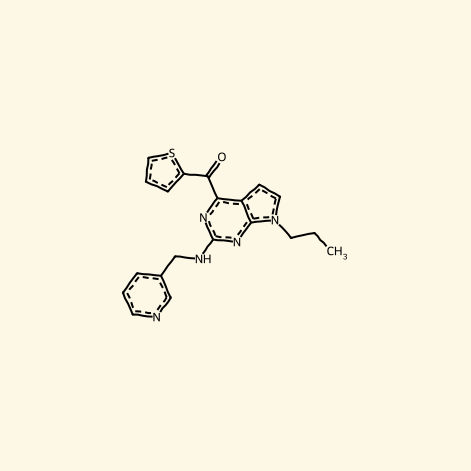 CCCn1ccc2c(C(=O)c3cccs3)nc(NCc3cccnc3)nc21